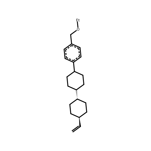 C=C[C@H]1CC[C@H](C2CCC(c3ccc(COCC)cc3)CC2)CC1